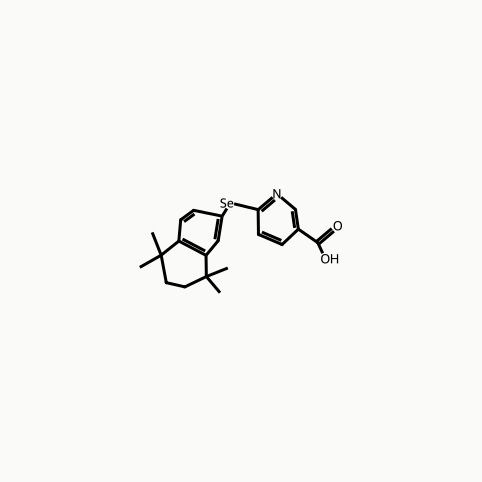 CC1(C)CCC(C)(C)c2cc([Se]c3ccc(C(=O)O)cn3)ccc21